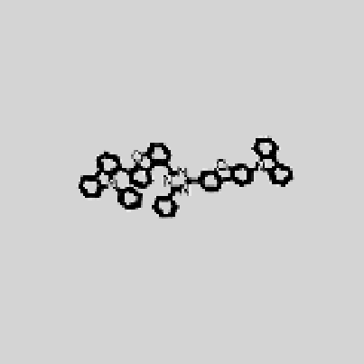 c1ccc(-c2nc(-c3ccc4c(c3)oc3cc(-n5c6ccccc6c6ccccc65)ccc34)nc(-c3cccc4oc5c(-c6cccc7c8ccccc8n(-c8ccccc8)c67)cccc5c34)n2)cc1